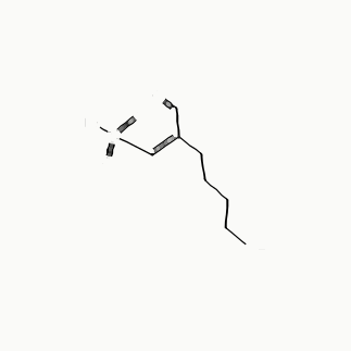 CCCCCC([C]=O)=CS(=O)(=O)O